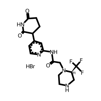 Br.O=C1CCC(c2ccnc(NC(=O)CN3CCNC[C@@H]3C(F)(F)F)c2)C(=O)N1